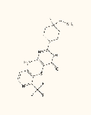 CC1(CN)CCN(c2nc(N)c(Sc3cccnc3C(F)(F)F)c(=O)[nH]2)CC1